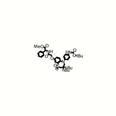 CCCCC1(CCCC)CN(c2ccc(NC(=O)OC(C)(C)C)cc2)c2ccc(OCC(=O)NC(C(=O)OC)c3ccccc3)cc2S(=O)(=O)C1